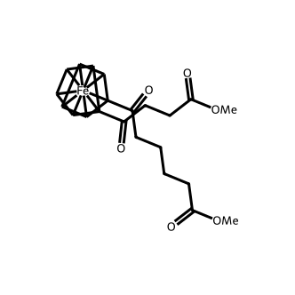 COC(=O)CCCCC(=O)[C]12[CH]3[CH]4[CH]5[CH]1[Fe]45321678[CH]2[CH]1[CH]6[C]7(C(=O)CCC(=O)OC)[CH]28